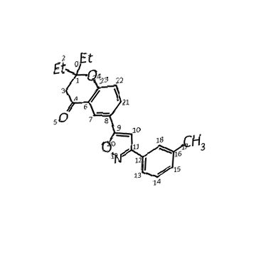 CCC1(CC)CC(=O)c2cc(-c3cc(-c4cccc(C)c4)no3)ccc2O1